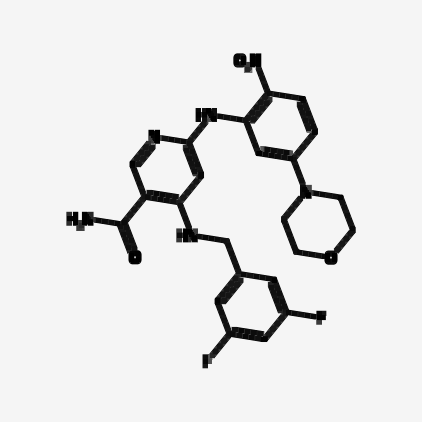 NC(=O)c1cnc(Nc2cc(N3CCOCC3)ccc2[N+](=O)[O-])cc1NCc1cc(F)cc(F)c1